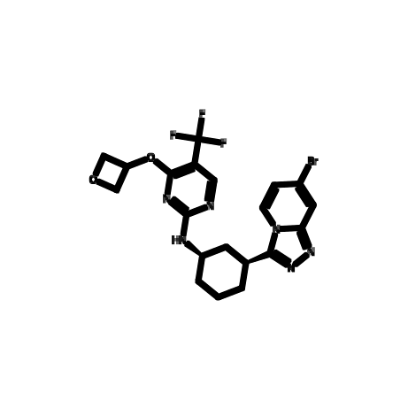 FC(F)(F)c1cnc(N[C@@H]2CCC[C@H](c3nnc4cc(Br)ccn34)C2)nc1OC1COC1